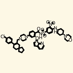 O=C(NS(=O)(=O)c1ccc(N[C@H]2CC[C@H](N3CCOCC3)CC2)c([N+](=O)[O-])c1)c1ccc(N2CCN(CC3=C(c4ccc(Cl)cc4)CCC4(CCCC4)C3)CC2)cc1On1ccc2cccnc21